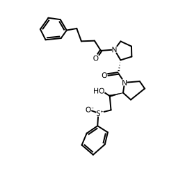 O=C(CCCc1ccccc1)N1CCC[C@@H]1C(=O)N1CCC[C@H]1C(O)C[S+]([O-])c1ccccc1